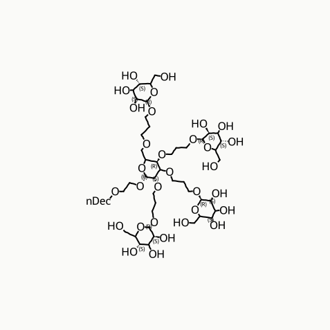 CCCCCCCCCCOCCO[C@@H]1OC(COCCCO[C@@H]2OC(CO)[C@@H](O)C(O)[C@@H]2O)[C@@H](OCCCO[C@@H]2OC(CO)[C@@H](O)C(O)[C@@H]2O)C(OCCCO[C@@H]2OC(CO)[C@@H](O)C(O)[C@@H]2O)[C@@H]1OCCCO[C@@H]1OC(CO)[C@@H](O)C(O)[C@@H]1O